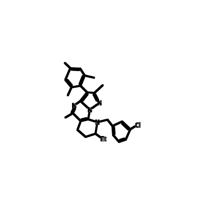 CCC1CCc2c(C)nc3c(-c4c(C)cc(C)cc4C)c(C)nn3c2N1Cc1cccc(Cl)c1